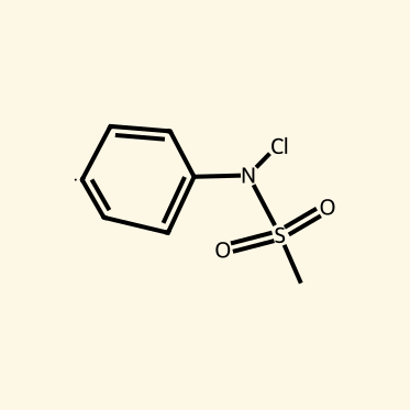 CS(=O)(=O)N(Cl)c1cc[c]cc1